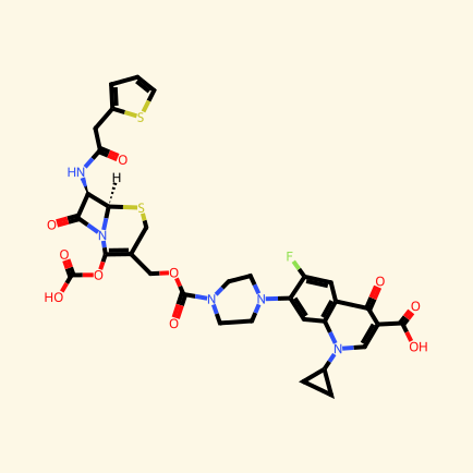 O=C(Cc1cccs1)N[C@@H]1C(=O)N2C(OC(=O)O)=C(COC(=O)N3CCN(c4cc5c(cc4F)c(=O)c(C(=O)O)cn5C4CC4)CC3)CS[C@H]12